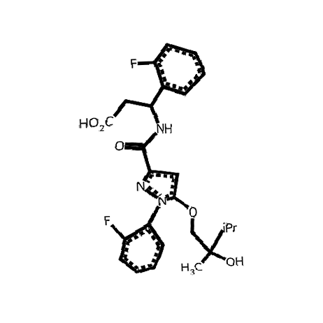 CC(C)C(C)(O)COc1cc(C(=O)NC(CC(=O)O)c2ccccc2F)nn1-c1ccccc1F